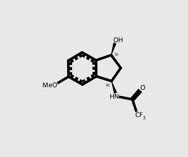 COc1ccc2c(c1)[C@H](NC(=O)C(F)(F)F)C[C@@H]2O